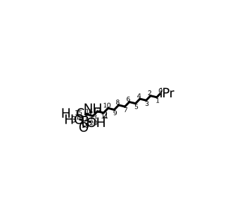 CC(C)CCCCCCCCCCCCCC(C)(N)P(=O)(O)O